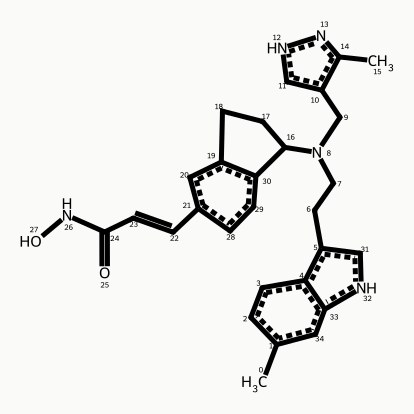 Cc1ccc2c(CCN(Cc3c[nH]nc3C)C3CCc4cc(/C=C/C(=O)NO)ccc43)c[nH]c2c1